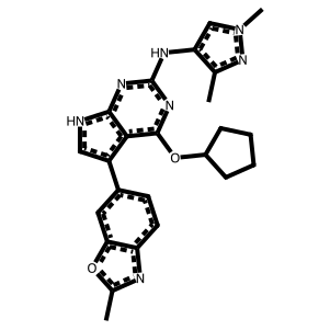 Cc1nc2ccc(-c3c[nH]c4nc(Nc5cn(C)nc5C)nc(OC5CCCC5)c34)cc2o1